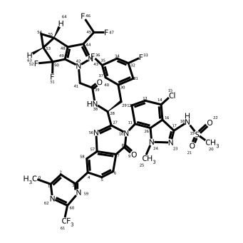 Cc1cc(-c2ccc3c(=O)n(-c4ccc(Cl)c5c(NS(C)(=O)=O)nn(C)c45)c([C@H](Cc4cc(F)cc(F)c4)NC(=O)Cn4nc(C(F)F)c5c4C(F)(F)[C@@H]4C[C@H]54)nc3c2)nc(C(F)(F)F)n1